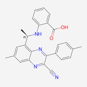 Cc1ccc(-c2nc3c([C@@H](C)Nc4ccccc4C(=O)O)cc(C)cc3nc2C#N)cc1